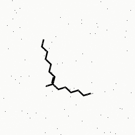 [CH2]CCCCCC(C)=CCCCCCC